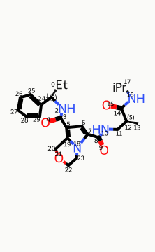 CC[C@@H](NC(=O)c1cc(C(=O)NC[C@H](C)C(=O)NC(C)C)n2c1COCC2)c1ccccc1